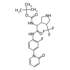 CC(C)(C)OC(=O)NC(C(=O)Nc1ccc(-n2ccccc2=O)cc1F)C1CNCC1C(F)(F)F